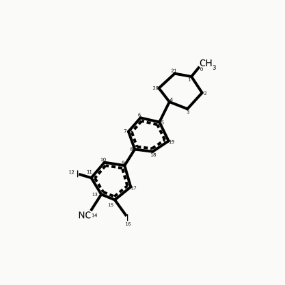 CC1CCC(c2ccc(-c3cc(I)c(C#N)c(I)c3)cc2)CC1